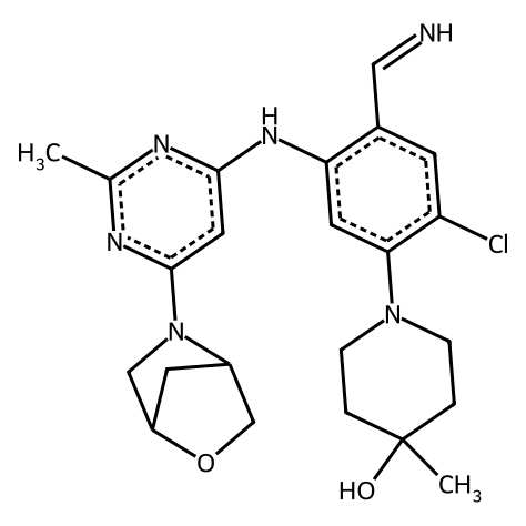 Cc1nc(Nc2cc(N3CCC(C)(O)CC3)c(Cl)cc2C=N)cc(N2CC3CC2CO3)n1